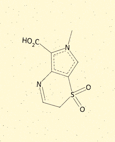 Cn1cc2c(c1C(=O)O)N=CCS2(=O)=O